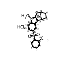 Cc1ccccc1S(=O)(=O)c1ccc2c(c1)c1c(n2C)CC2CCC1N2.Cl